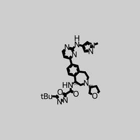 Cn1cc(Nc2nccc(-c3ccc4c(c3)CCN([C@@H]3CCOC3)C[C@H]4NC(=O)c3nnc(C(C)(C)C)o3)n2)cn1